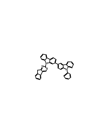 c1ccc(-n2c3ccccc3c3cc(-c4ccc5c6ccccc6n(-c6ncc7c(n6)Cc6ccccc6-7)c5c4)ccc32)cc1